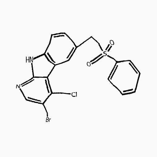 O=S(=O)(Cc1ccc2[nH]c3ncc(Br)c(Cl)c3c2c1)c1ccccc1